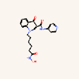 O=C(CCCCCn1cc(C(=O)Nc2ccncc2)c(=O)c2ccccc21)NO